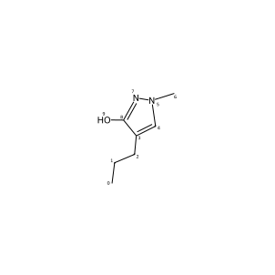 CCCc1cn(C)nc1O